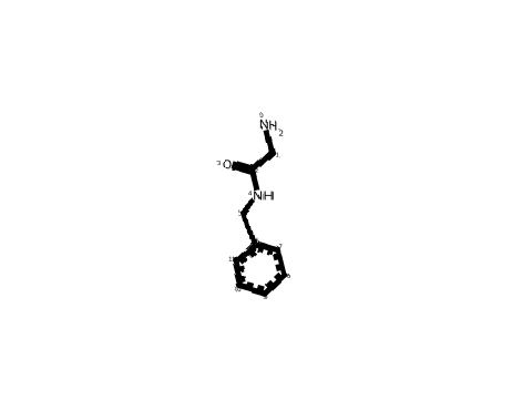 NCC(=O)NCc1ccccc1